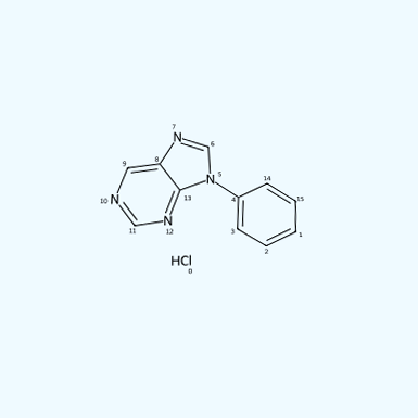 Cl.c1ccc(-n2cnc3cncnc32)cc1